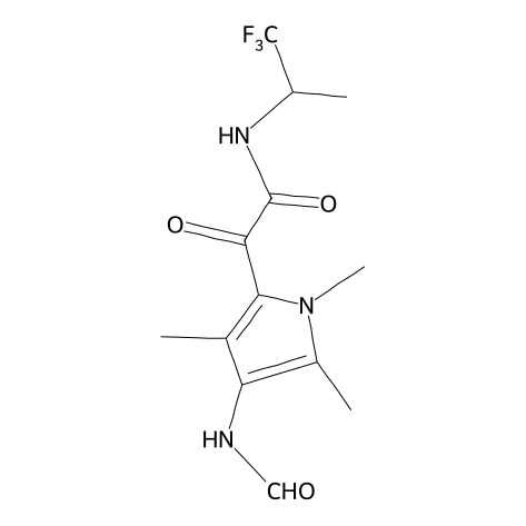 Cc1c(NC=O)c(C)n(C)c1C(=O)C(=O)NC(C)C(F)(F)F